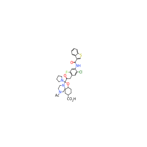 CC(=O)N1CCN(C(OC2CCC(C(=O)O)CC2)(C(=O)Cc2cc(Cl)c(NC(=O)c3csc4ccccc34)cc2F)N2CCCC2)CC1